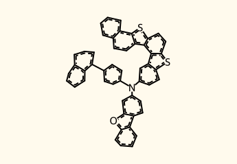 c1ccc2c(-c3ccc(N(c4ccc5c(c4)oc4ccccc45)c4ccc5sc6ccc7sc8c9ccccc9ccc8c7c6c5c4)cc3)cccc2c1